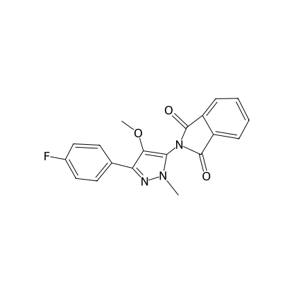 COc1c(-c2ccc(F)cc2)nn(C)c1N1C(=O)c2ccccc2C1=O